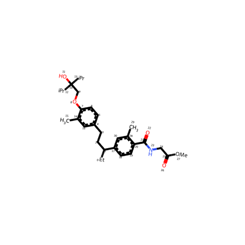 CCC(CCc1ccc(OCC(O)(C(C)C)C(C)C)c(C)c1)c1ccc(C(=O)NCC(=O)OC)c(C)c1